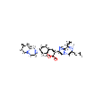 Cc1cn2cc(-c3cc4ccc(N5CCN6CCCCC6C5)cc4oc3=O)nc2c(C)n1